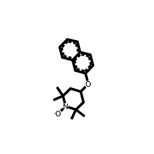 CC1(C)CC(Oc2ccc3ccccc3c2)CC(C)(C)N1[O]